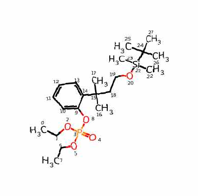 CCOP(=O)(OCC)Oc1ccccc1C(C)(C)CCO[Si](C)(C)C(C)(C)C